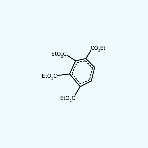 CCOC(=O)c1ccc(C(=O)OCC)c(C(=O)OCC)c1C(=O)OCC